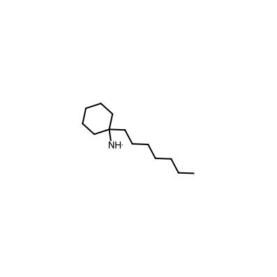 CCCCCCCC1([NH])CCCCC1